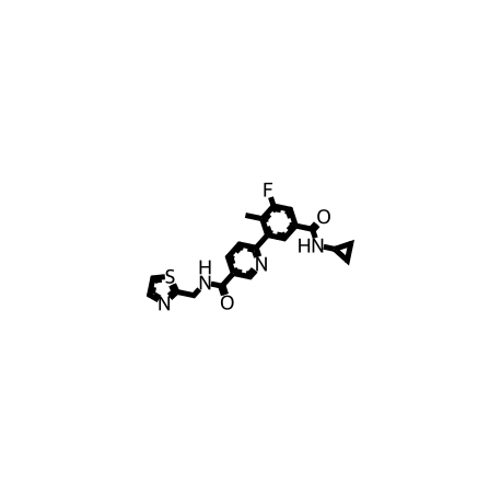 Cc1c(F)cc(C(=O)NC2CC2)cc1-c1ccc(C(=O)NCc2nccs2)cn1